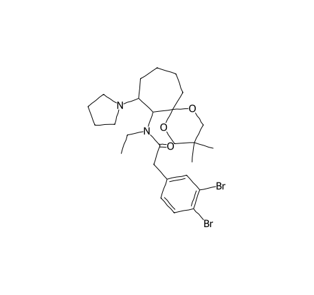 CCN(C(=O)Cc1ccc(Br)c(Br)c1)C1C(N2CCCC2)CCCCC12OCC(C)(C)CO2